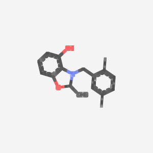 Cc1ccc(C)c(CN2c3c(O)cccc3OC2C=O)c1